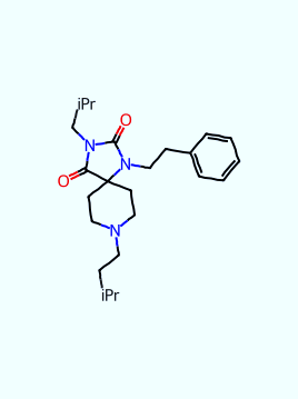 CC(C)CCN1CCC2(CC1)C(=O)N(CC(C)C)C(=O)N2CCc1ccccc1